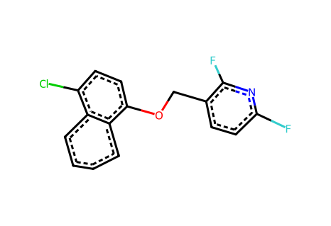 Fc1ccc(COc2ccc(Cl)c3ccccc23)c(F)n1